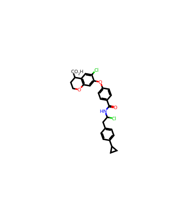 O=C(NC(Cl)Cc1ccc(C2CC2)cc1)c1ccc(Oc2cc3c(cc2Cl)C(C(=O)O)CCO3)cc1